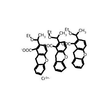 CCOC(C)c1ccc2c(c1C(=O)[O-])Cc1ccccc1O2.CCOC(C)c1ccc2c(c1C(=O)[O-])Cc1ccccc1O2.CCOC(C)c1ccc2c(c1C(=O)[O-])Cc1ccccc1O2.[Cr+3]